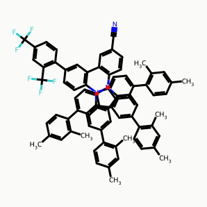 Cc1ccc(-c2ccc3c(c2)c2cc(-c4ccc(C)cc4C)ccc2n3-c2ccc(C#N)cc2-c2cc(-c3ccc(C(F)(F)F)cc3C(F)(F)F)ccc2-n2c3ccc(-c4ccc(C)cc4C)cc3c3cc(-c4ccc(C)cc4C)ccc32)c(C)c1